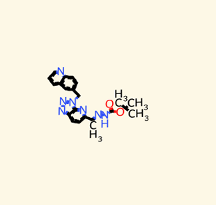 CC(=NNC(=O)OC(C)(C)C)c1ccc2nnn(Cc3ccc4ncccc4c3)c2n1